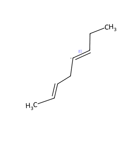 CC=CC/[C]=C/CC